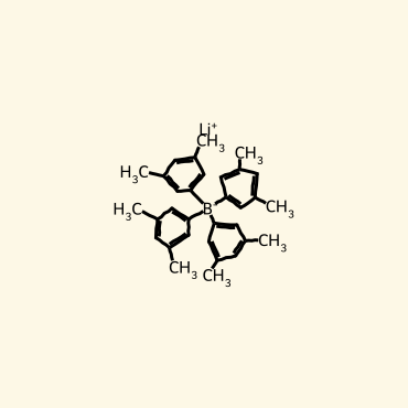 Cc1cc(C)cc([B-](c2cc(C)cc(C)c2)(c2cc(C)cc(C)c2)c2cc(C)cc(C)c2)c1.[Li+]